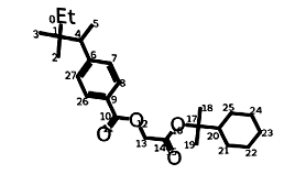 CCC(C)(C)C(C)c1ccc(C(=O)OCC(=O)OC(C)(C)C2CCCCC2)cc1